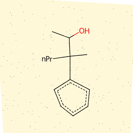 CCCC(C)(c1ccccc1)C(C)O